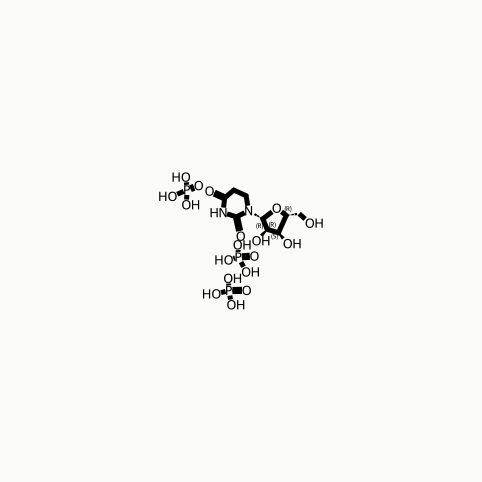 O=C1CCN([C@@H]2O[C@H](CO)[C@@H](O)[C@H]2O)C(=O)N1.O=P(O)(O)O.O=P(O)(O)O.O=P(O)(O)O